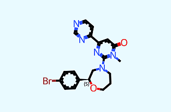 Cn1c(N2CCCO[C@@H](c3ccc(Br)cc3)C2)nc(-c2ccncn2)cc1=O